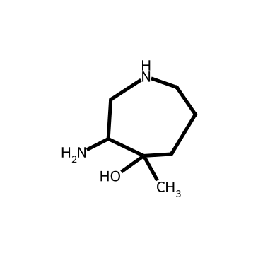 CC1(O)CCCNCC1N